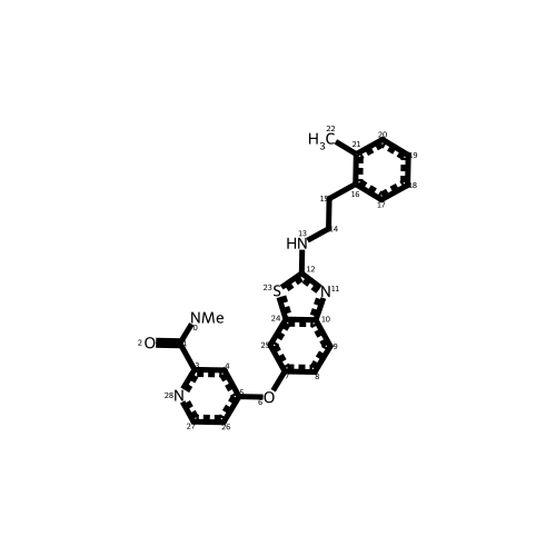 CNC(=O)c1cc(Oc2ccc3nc(NCCc4ccccc4C)sc3c2)ccn1